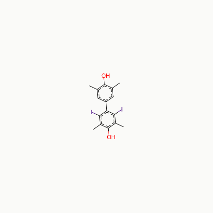 Cc1cc(-c2c(I)c(C)c(O)c(C)c2I)cc(C)c1O